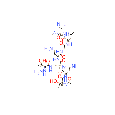 CCC[C@@H](O)[C@H](NC(C)=O)C(=O)N[C@@H](CCN)C(=O)N(C)[C@@H](CCNC(=O)[C@@H](NN)[C@@H](C)O)C(=O)N[C@@H](CCN)C(=O)NCC(=O)N[C@@H](CC(C)C)C(=O)N[C@@H](CCN)C(=O)NC